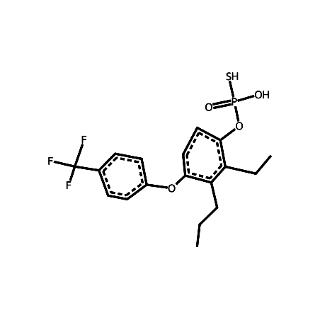 CCCc1c(Oc2ccc(C(F)(F)F)cc2)ccc(OP(=O)(O)S)c1CC